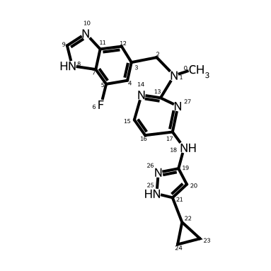 CN(Cc1cc(F)c2[nH]cnc2c1)c1nccc(Nc2cc(C3CC3)[nH]n2)n1